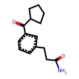 NC(=O)CCc1cccc(C(=O)C2CCCC2)c1